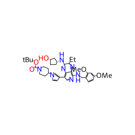 CCc1nc2c(NCc3ccc(OC)cc3OC)ncc(-c3ccn(C4CCN(C(=O)OC(C)(C)C)CC4)c3)c2nc1N[C@@H]1CC[C@H](O)C1